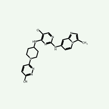 Cc1cnc2cc(Nc3ncc(Cl)c(NC4CCN(c5ccc(C#N)nn5)CC4)n3)ccn12